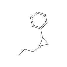 CCCN1CC1c1ccccc1